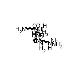 C[C@H](NC(=O)[C@@H]1CCCN1C(=O)[C@@H](N)CCCNC(=N)N)C(=O)N[C@@H](CCCCN)C(=O)O